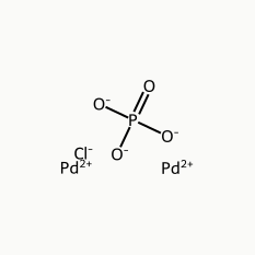 O=P([O-])([O-])[O-].[Cl-].[Pd+2].[Pd+2]